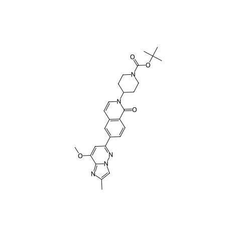 COc1cc(-c2ccc3c(=O)n(C4CCN(C(=O)OC(C)(C)C)CC4)ccc3c2)nn2cc(C)nc12